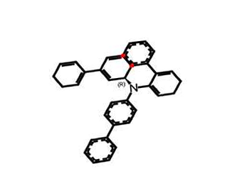 C1=CC(C2=C[C@H](N(C3=CCCC=C3c3ccccc3)c3ccc(-c4ccccc4)cc3)CC=C2)=CCC1